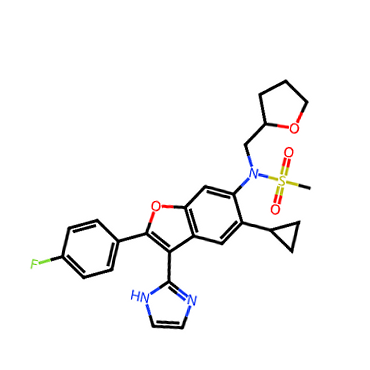 CS(=O)(=O)N(CC1CCCO1)c1cc2oc(-c3ccc(F)cc3)c(-c3ncc[nH]3)c2cc1C1CC1